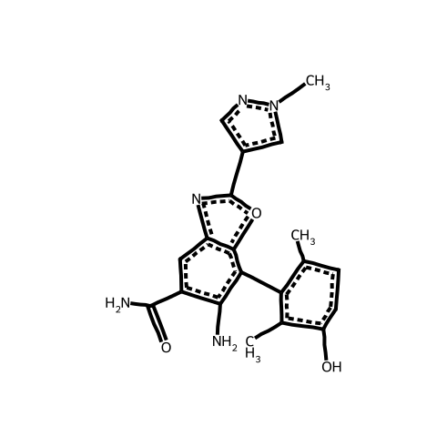 Cc1ccc(O)c(C)c1-c1c(N)c(C(N)=O)cc2nc(-c3cnn(C)c3)oc12